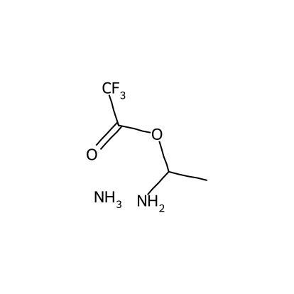 CC(N)OC(=O)C(F)(F)F.N